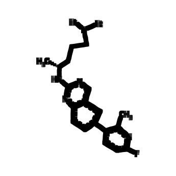 CCN(CC)CCC[C@@H](C)Nc1ncc2cc(-c3ccc(F)nc3C)ccc2n1